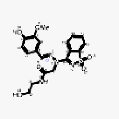 COc1cc(/C=N/N(CC(=O)NCCO)C2=NS(=O)(=O)c3ccccc32)ccc1O